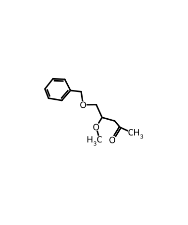 COC(COCc1ccccc1)CC(C)=O